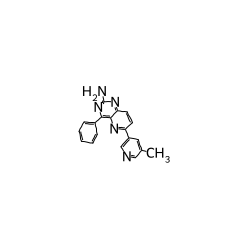 Cc1cncc(-c2ccc3nc(N)nc(-c4ccccc4)c3n2)c1